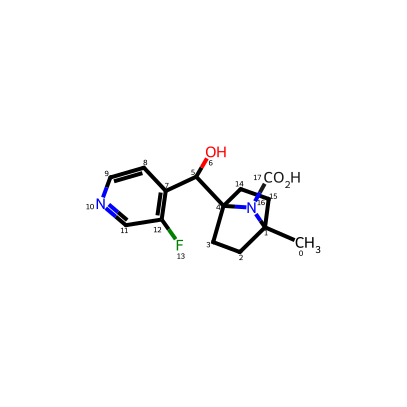 CC12CCC(C(O)c3ccncc3F)(CC1)N2C(=O)O